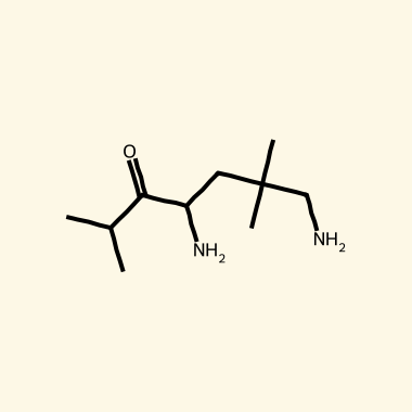 CC(C)C(=O)C(N)CC(C)(C)CN